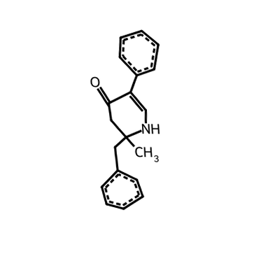 CC1(Cc2ccccc2)CC(=O)C(c2ccccc2)=CN1